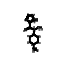 CN(C(=O)c1ncn[nH]1)C1CCC(N)CC1